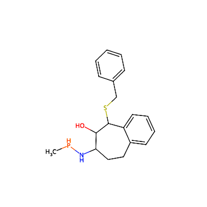 CPNC1CCc2ccccc2C(SCc2ccccc2)C1O